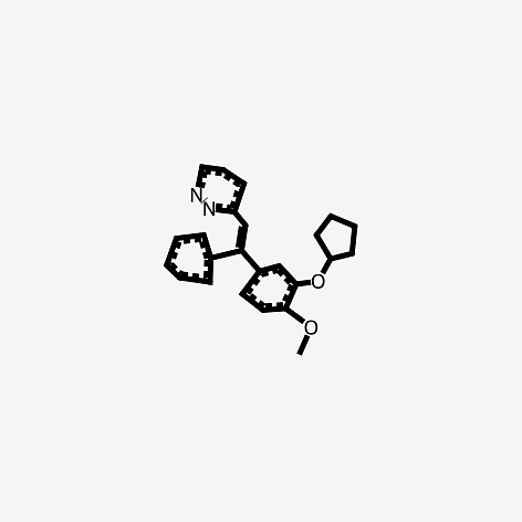 COc1ccc(/C(=C/c2cccnn2)c2ccccc2)cc1OC1CCCC1